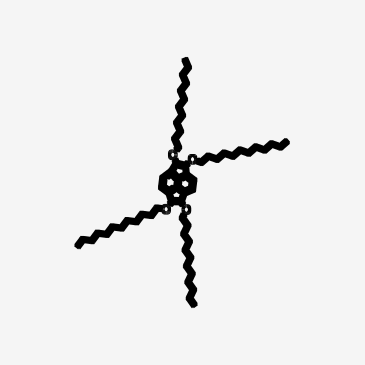 CCCCCCCCCCCCOC1=C(OCCCCCCCCCCCC)c2ccc3c4c(ccc1c24)C(OCCCCCCCCCCCC)=C3OCCCCCCCCCCCC